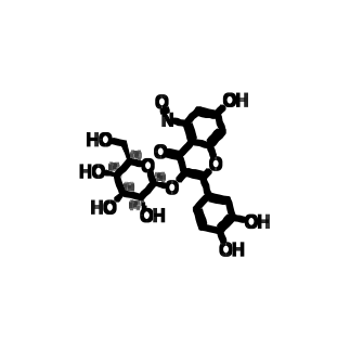 O=Nc1cc(O)cc2oc(-c3ccc(O)c(O)c3)c(O[C@@H]3O[C@H](CO)[C@H](O)[C@H](O)[C@H]3O)c(=O)c12